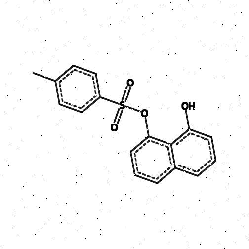 Cc1ccc(S(=O)(=O)Oc2cccc3cccc(O)c23)cc1